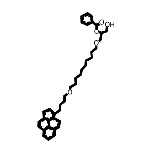 O=C(OC(CO)COCCCCCCCCCCOCCCCc1ccc2ccc3cccc4ccc1c2c34)c1ccccc1